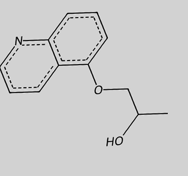 CC(O)COc1cccc2ncccc12